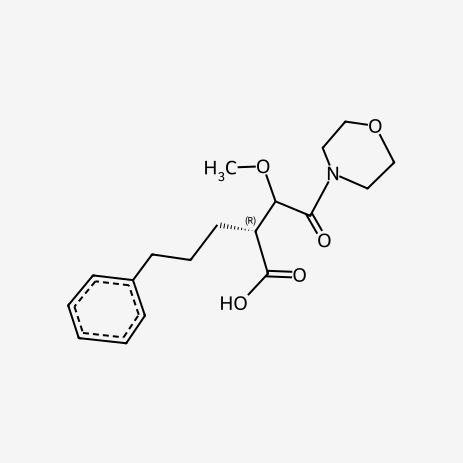 COC(C(=O)N1CCOCC1)[C@@H](CCCc1ccccc1)C(=O)O